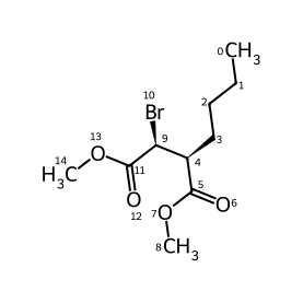 CCCC[C@@H](C(=O)OC)[C@H](Br)C(=O)OC